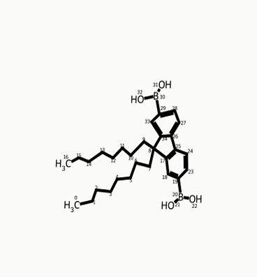 CCCCCCCCC1(CCCCCCCC)c2cc(B(O)O)ccc2-c2ccc(B(O)O)cc21